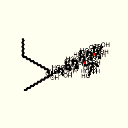 CCCCCCCC/C=C\CCCCCCCCCCCCCC(=O)N[C@@H](CO[C@@H]1OC(CO)[C@@H](O[C@@H]2OC(CO)[C@H](O[C@@H]3OC(CO)[C@H](O)[C@H](O[C@@H]4OC(CO[C@]5(C(=O)O)CC(O)[C@@H](NC(C)=O)C([C@H](O)[C@H](O)CO)O5)[C@H](O)[C@H](O[C@@H]5OC(CO)[C@H](O)[C@H](O[C@]6(C(=O)O)CC(O)[C@@H](NC(C)=O)C([C@H](O)[C@H](O)CO)O6)C5O)C4NC(C)=O)C3O)[C@H](O)C2O)[C@H](O)C1O)[C@H](O)/C=C/CCCCCCCCCCCCC